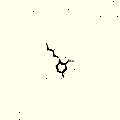 CNc1cc(C(C)=O)ccc1OCCCCl